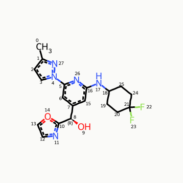 Cc1ccn(-c2cc([C@@H](O)c3ncco3)cc(NC3CCC(F)(F)CC3)n2)n1